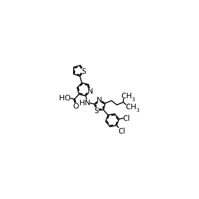 CC(C)CCc1nc(Nc2ncc(-c3cccs3)cc2C(=O)O)sc1-c1ccc(Cl)c(Cl)c1